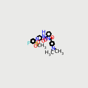 CCN(CC)c1ccc(C(=O)NC2(C(=O)NC3CCN(c4ccc(F)cc4S(C)(=O)=O)CC3=O)CCCCC2)cc1